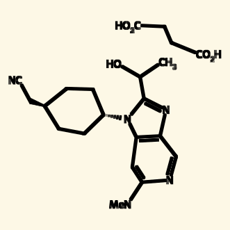 CNc1cc2c(cn1)nc(C(C)O)n2[C@H]1CC[C@H](CC#N)CC1.O=C(O)CCC(=O)O